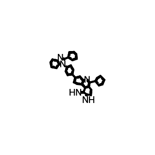 N=C1C=Cc2c(-c3ccccc3)nc3cc(-c4ccc(-n5c(-c6ccccc6)nc6ccccc65)cc4)ccc3c2C1=N